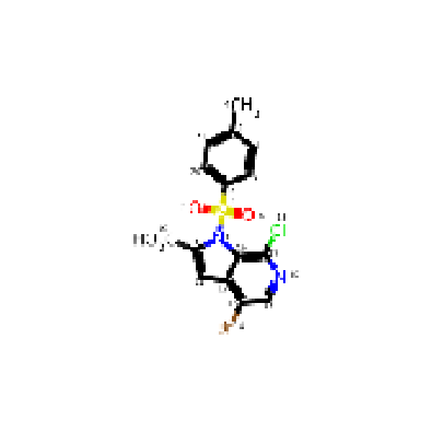 Cc1ccc(S(=O)(=O)n2c(C(=O)O)cc3c(Br)cnc(Cl)c32)cc1